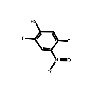 O=[N+]([O-])c1cc(F)c(S)cc1F